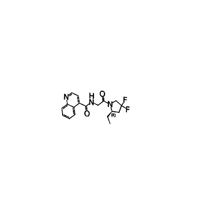 CC[C@@H]1CC(F)(F)CN1C(=O)CNC(=O)c1ccnc2ccccc12